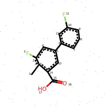 Cc1c(F)cc(-c2cccc(F)c2)cc1C(=O)O